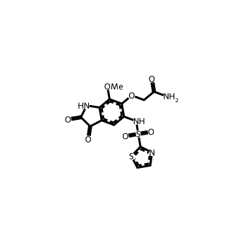 COc1c2c(cc(NS(=O)(=O)c3nccs3)c1OCC(N)=O)C(=O)C(=O)N2